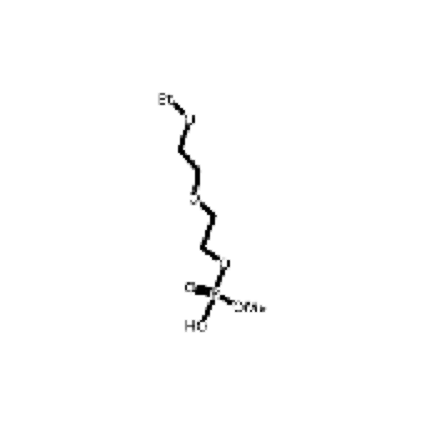 CCOCCOCCOP(=O)(O)OC